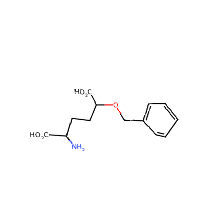 NC(CCC(OCc1ccccc1)C(=O)O)C(=O)O